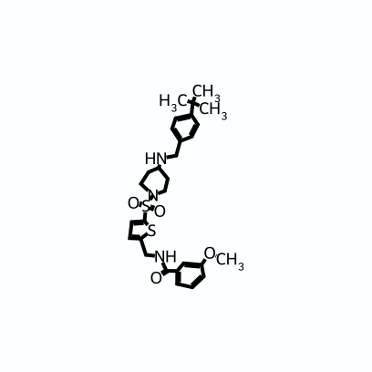 COc1cccc(C(=O)NCc2ccc(S(=O)(=O)N3CCC(NCc4ccc(C(C)(C)C)cc4)CC3)s2)c1